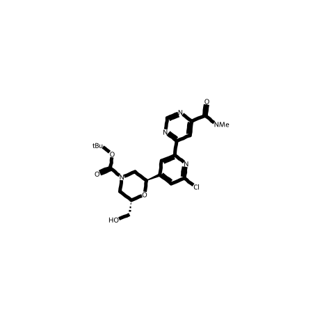 CNC(=O)c1cc(-c2cc([C@@H]3CN(C(=O)OC(C)(C)C)C[C@@H](CO)O3)cc(Cl)n2)ncn1